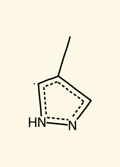 Cc1[c][nH]nc1